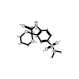 CN(C)S(=O)(=O)c1ccc2c(c1)C1(OCCCO1)C(=O)N2